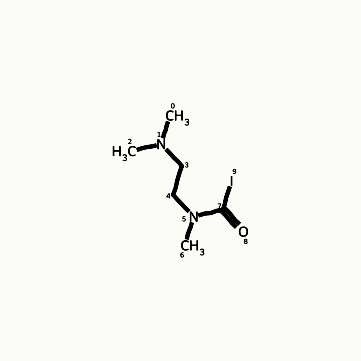 CN(C)CCN(C)C(=O)I